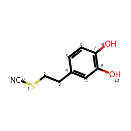 N#CSCCc1ccc(O)c(O)c1